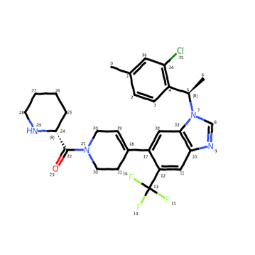 Cc1ccc([C@@H](C)n2cnc3cc(C(F)(F)F)c(C4=CCN(C(=O)[C@H]5CCCCN5)CC4)cc32)c(Cl)c1